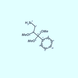 COC(C[SiH3])C(OC)(OC)c1ccccc1